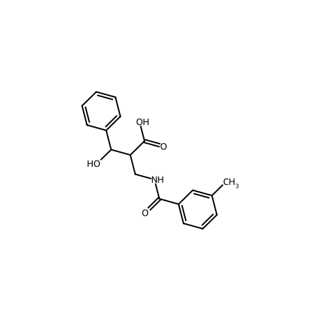 Cc1cccc(C(=O)NCC(C(=O)O)C(O)c2ccccc2)c1